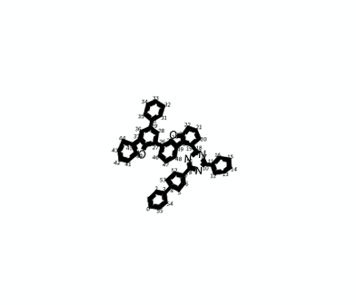 c1ccc(-c2ccc(-c3nc(-c4ccccc4)nc(-c4cccc5oc6c(-c7cc(-c8ccccc8)cc8c7oc7ccccc78)cccc6c45)n3)cc2)cc1